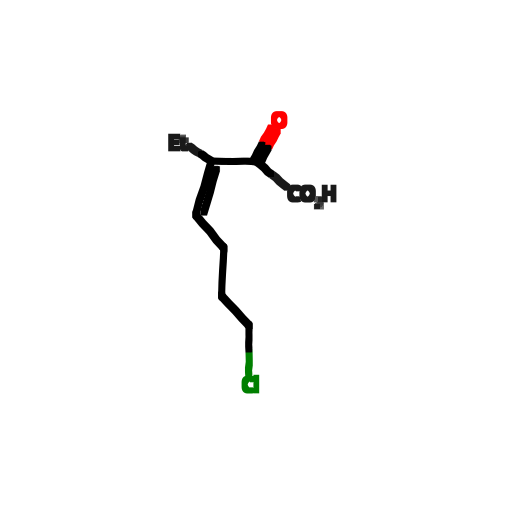 CCC(=CCCCCl)C(=O)C(=O)O